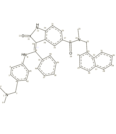 CN(C)Cc1ccc(N/C(=C2\C(=O)Nc3ccc(C(=O)N(C)Cc4cccc5ccccc45)cc32)c2ccccc2)cc1